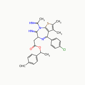 CC(=N)N1C(=N)C(CC(=O)OC(C)c2ccc(C=O)cc2)N=C(c2ccc(Cl)cc2)c2c1sc(C)c2C